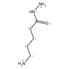 NCCCCC(=O)NN